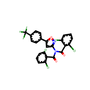 O=C(c1c(Cl)cccc1Cl)N(C(=O)c1c(Cl)cccc1Cl)c1cc(-c2ccc(C(F)(F)F)cc2)on1